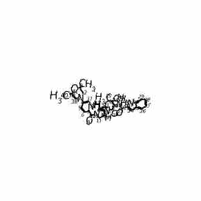 CC1CN(c2ccc(C(=O)N3C[C@@H]4C[C@H]3CN4C(=O)[C@@H](NC(=O)c3cc4ccccc4[nH]3)C(C)(C)C)nc2)CC(C)O1